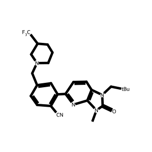 Cn1c(=O)n(CC(C)(C)C)c2ccc(-c3cc(CN4CCCC(C(F)(F)F)C4)ccc3C#N)nc21